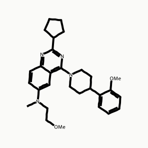 COCCN(C)c1ccc2nc(C3CCCC3)nc(N3CCC(c4ccccc4OC)CC3)c2c1